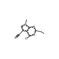 CSc1nc(Cl)c2c(C#N)cn(C)c2n1